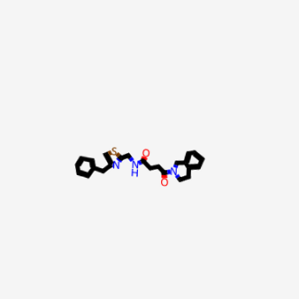 O=C(CCC(=O)N1CCc2ccccc2C1)NCc1nc(Cc2ccccc2)cs1